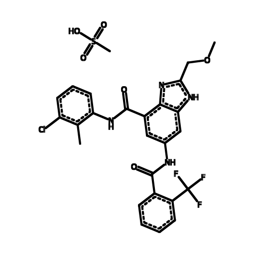 COCc1nc2c(C(=O)Nc3cccc(Cl)c3C)cc(NC(=O)c3ccccc3C(F)(F)F)cc2[nH]1.CS(=O)(=O)O